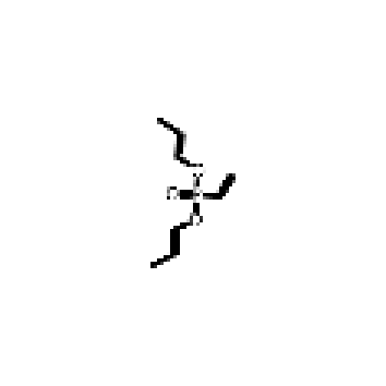 C=CP(=O)(OC=CC)OC=CC